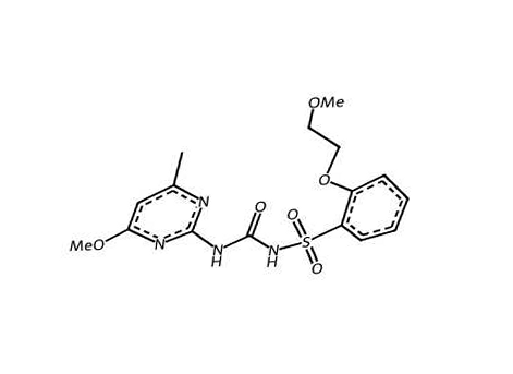 COCCOc1ccccc1S(=O)(=O)NC(=O)Nc1nc(C)cc(OC)n1